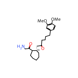 COc1ccc(CCCCC(=O)C[C@@H]2CCCCCC2C(=O)CN)cc1OC